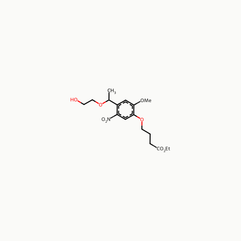 CCOC(=O)CCCOc1cc([N+](=O)[O-])c(C(C)OCCO)cc1OC